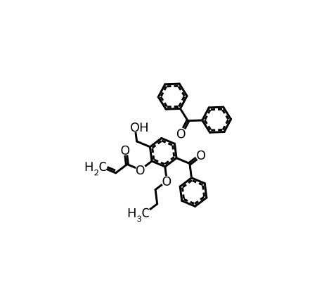 C=CC(=O)Oc1c(CO)ccc(C(=O)c2ccccc2)c1OCCC.O=C(c1ccccc1)c1ccccc1